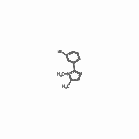 Cc1cnc(-c2cccc(Br)c2)n1C